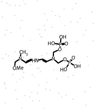 COCN(C)C=CNC=CN(COP(=O)(O)O)COP(=O)(O)O